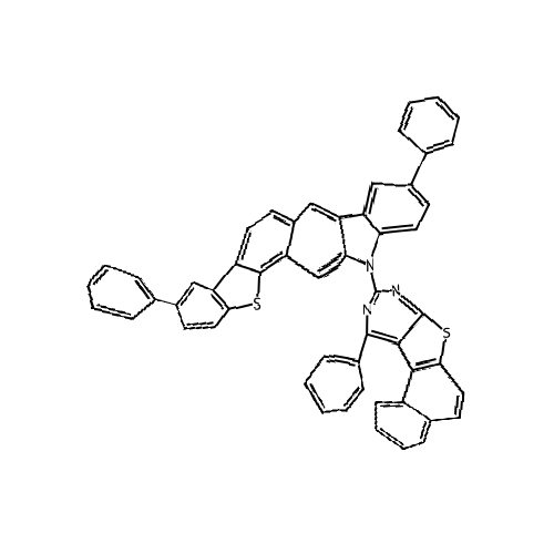 c1ccc(-c2ccc3sc4c5cc6c(cc5ccc4c3c2)c2cc(-c3ccccc3)ccc2n6-c2nc(-c3ccccc3)c3c(n2)sc2ccc4ccccc4c23)cc1